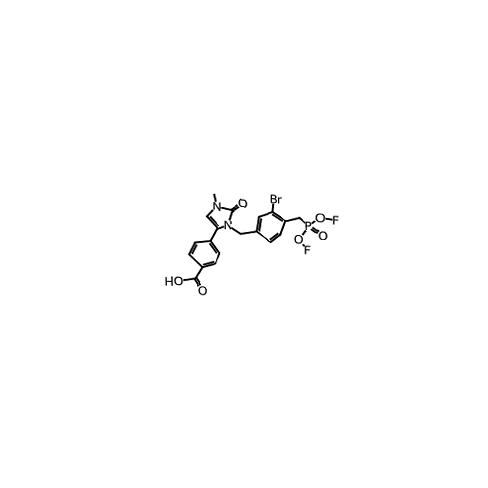 Cn1cc(-c2ccc(C(=O)O)cc2)n(Cc2ccc(CP(=O)(OF)OF)c(Br)c2)c1=O